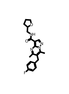 Cc1nc2c(C(=O)NCC3CCCO3)cnn2c(C)c1Cc1ccc(F)cc1